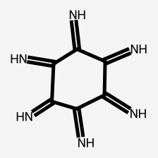 N=C1C(=N)C(=N)C(=N)C(=N)C1=N